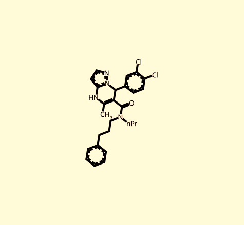 CCCN(CCCc1ccccc1)C(=O)C1=C(C)Nc2ccnn2C1c1ccc(Cl)c(Cl)c1